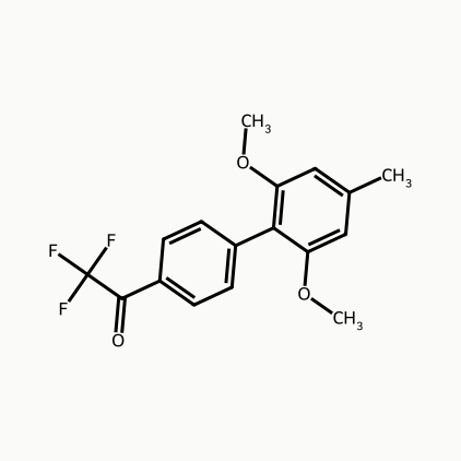 COc1cc(C)cc(OC)c1-c1ccc(C(=O)C(F)(F)F)cc1